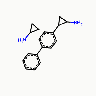 NC1CC1.NC1CC1c1ccc(-c2ccccc2)cc1